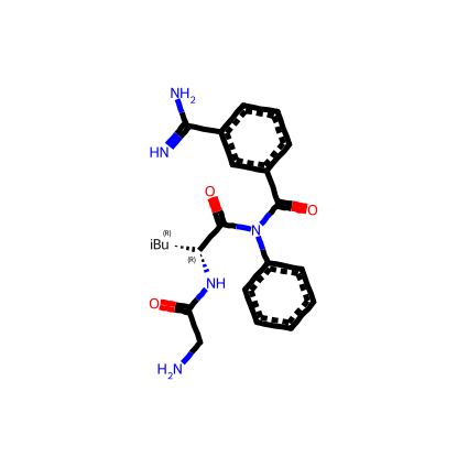 CC[C@@H](C)[C@@H](NC(=O)CN)C(=O)N(C(=O)c1cccc(C(=N)N)c1)c1ccccc1